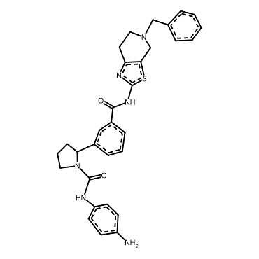 Nc1ccc(NC(=O)N2CCCC2c2cccc(C(=O)Nc3nc4c(s3)CN(Cc3ccccc3)CC4)c2)cc1